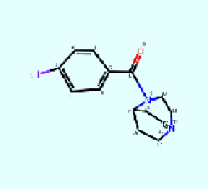 O=C(c1ccc(I)cc1)N1CCN2CCC1CC2